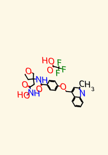 Cc1cc(COc2ccc(C(=O)NC3(CC(=O)NO)CCOC3)cc2)c2ccccc2n1.O=C(O)C(F)(F)F